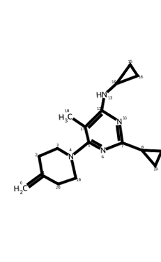 C=C1CCN(c2nc(C3CC3)nc(NC3CC3)c2C)CC1